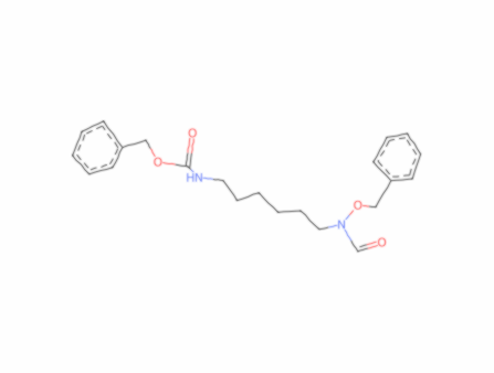 O=CN(CCCCCCNC(=O)OCc1ccccc1)OCc1ccccc1